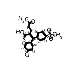 CC(=O)CC/C(C(O)=S)=C(/c1ccc(Cl)cc1)c1ccc(S(C)(=O)=O)cc1